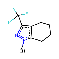 Cn1nc(C(F)(F)F)c2c1CCCC2